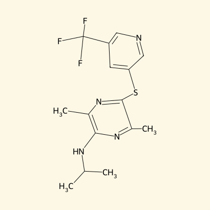 Cc1nc(Sc2cncc(C(F)(F)F)c2)c(C)nc1NC(C)C